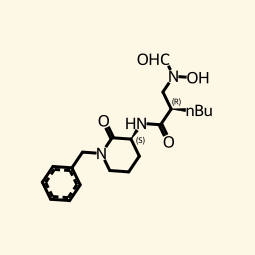 CCCC[C@H](CN(O)C=O)C(=O)N[C@H]1CCCN(Cc2ccccc2)C1=O